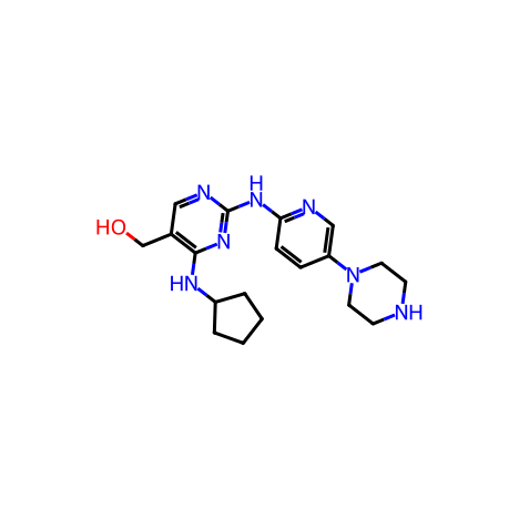 OCc1cnc(Nc2ccc(N3CCNCC3)cn2)nc1NC1CCCC1